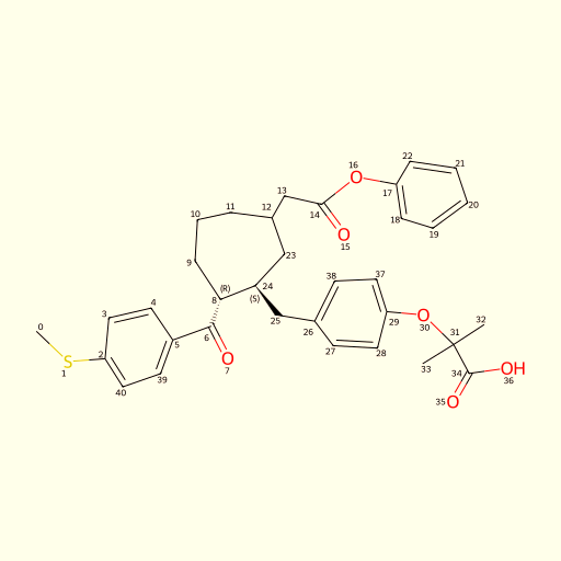 CSc1ccc(C(=O)[C@@H]2CCCC(CC(=O)Oc3ccccc3)C[C@H]2Cc2ccc(OC(C)(C)C(=O)O)cc2)cc1